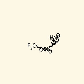 O=C1CCc2cc(C=CC(=O)N3CC(OCCCC(F)(F)F)C3)cnc2N1